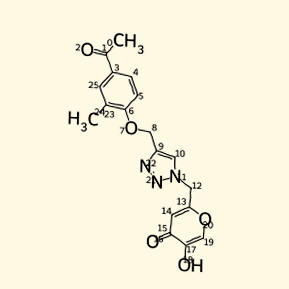 CC(=O)c1ccc(OCc2cn(Cc3cc(=O)c(O)co3)nn2)c(C)c1